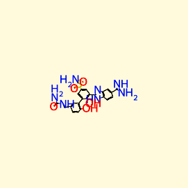 N=C(N)c1ccc2[nH]c(-c3cc(S(N)(=O)=O)cc(-c4cc(CNC(N)=O)ccc4O)c3O)nc2c1